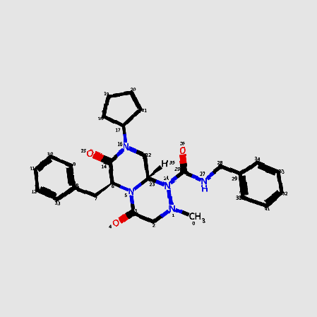 CN1CC(=O)N2[C@@H](Cc3ccccc3)C(=O)N(C3CCCC3)C[C@@H]2N1C(=O)NCc1ccccc1